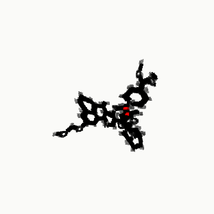 COCOc1cc2c3c(cccc3c1)C(C)c1c-2ncc2c(N3CC4CCC(C3)N4C(=O)OC(C)(C)C)nc(N3CCC(C(OC)OC)CC3)nc12